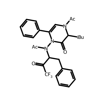 CCC(C)C1C(=O)N(N(C(C)=O)C(Cc2ccccc2)C(=O)C(F)(F)F)C(c2ccccc2)=CN1C(C)=O